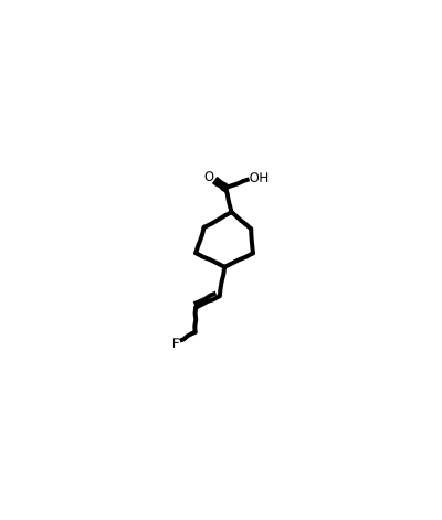 O=C(O)C1CCC(C=CCF)CC1